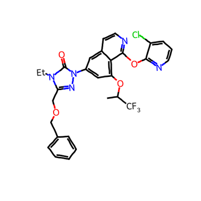 CCn1c(COCc2ccccc2)nn(-c2cc(OC(C)C(F)(F)F)c3c(Oc4ncccc4Cl)nccc3c2)c1=O